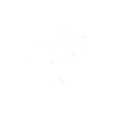 CN(C)CCn1cc(C(=O)C2C(C)(C)C2(C)C)c2ccccc21